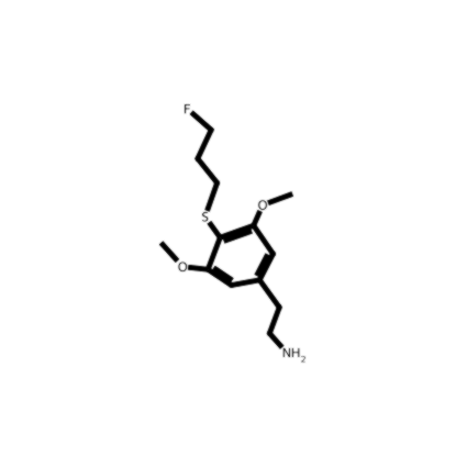 COc1cc(CCN)cc(OC)c1SCCCF